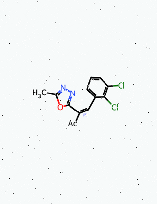 CC(=O)/C(=C/c1cccc(Cl)c1Cl)c1nnc(C)o1